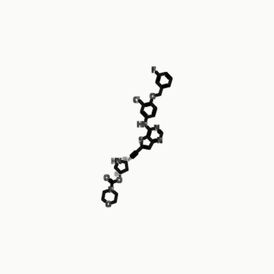 O=C(O[C@@H]1CN[C@H](C#Cc2cc3ncnc(Nc4ccc(OCc5cccc(F)c5)c(Cl)c4)c3s2)C1)N1CCOCC1